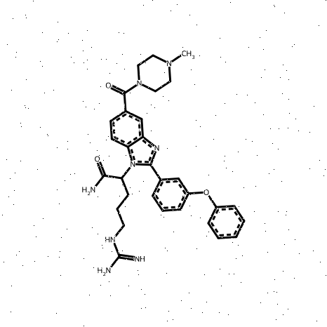 CN1CCN(C(=O)c2ccc3c(c2)nc(-c2cccc(Oc4ccccc4)c2)n3C(CCCNC(=N)N)C(N)=O)CC1